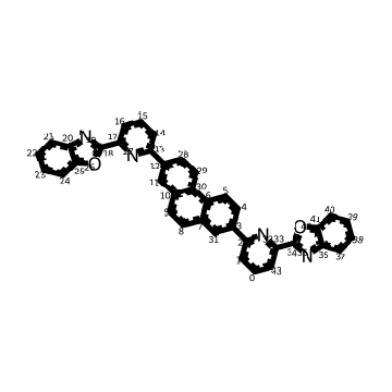 c1cc(-c2ccc3c(ccc4cc(-c5cccc(-c6nc7ccccc7o6)n5)ccc43)c2)nc(-c2nc3ccccc3o2)c1